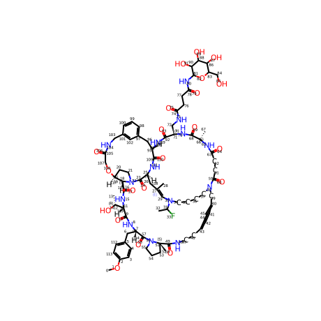 COc1ccc(C[C@@H]2NC(=O)[C@H]([C@@H](C)O)NC(=O)[C@@H]3[C@@H]4CCN3C(=O)[C@@H]3C/C(C)=C/N(C(C)F)CCCCN(Cc5ccc(cc5)CCNC(=O)[C@]5(C)CCCN5C2=O)C(=O)CCC(=O)N[C@@H](C)C(=O)N[C@H](CNC(=O)CCC(=O)NC2OC(CO)C(O)C(O)C2O)C(=O)N[C@@H](Cc2cccc(c2)CNC(=O)CO4)C(=O)N3)cc1